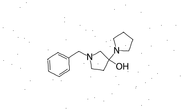 OC1(N2CCCC2)CCN(Cc2ccccc2)C1